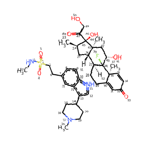 CNS(=O)(=O)CCc1ccc2[nH]cc(C3CCN(C)CC3)c2c1.C[C@@H]1C[C@H]2[C@@H]3CCC4=CC(=O)C=C[C@]4(C)[C@@]3(F)[C@@H](O)C[C@]2(C)[C@@]1(O)C(=O)CO